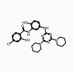 O=C(Nc1cc(Nc2nc(N3CCCCC3)nc(N3CCCCC3)n2)ccc1O)c1ccc(Cl)cc1O